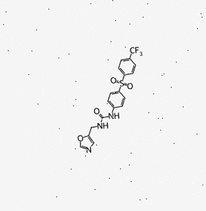 O=C(NCc1cnco1)Nc1ccc(S(=O)(=O)c2ccc(C(F)(F)F)cc2)cc1